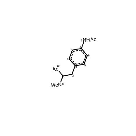 CNC(Cc1ccc(NC(C)=O)cc1)C(C)=O